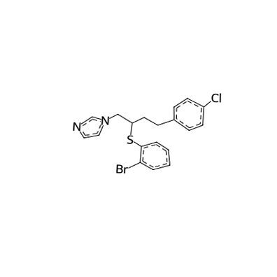 Clc1ccc(CCC(Cn2ccnc2)Sc2ccccc2Br)cc1